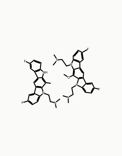 COc1c2c(cc3c4cc(F)ccc4n(CCN(C)C)c13)c1cc(F)ccc1n2CCN(C)C.Cc1c2[nH]c3ccc(F)cc3c2cc2c3cc(F)ccc3n(CCN(C)C)c12